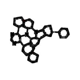 c1ccc(-c2ccc3c(c2)c2cc(-c4ccccc4)cc4c2n3-c2ccccc2N4c2c(-c3ccccc3)ncnc2-c2ccccc2)cc1